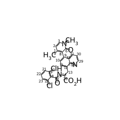 Cc1ccn(C)c(=O)c1-c1ccc(CC(NC(=O)c2c(Cl)cccc2Cl)C(=O)O)c2ncccc12